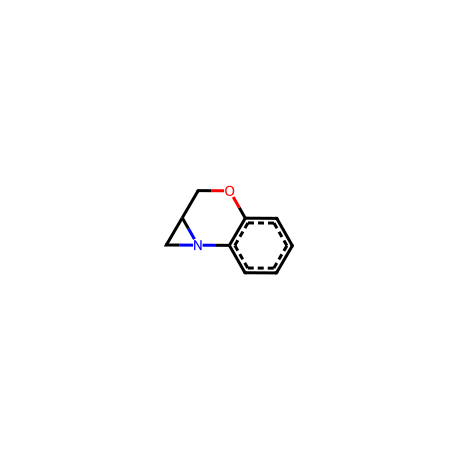 c1ccc2c(c1)OCC1CN21